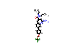 CCCN(CCC)C(=O)C1=Cc2ccc(-c3ccc(OSC(F)(F)F)cc3)cc2N=C(N)C1